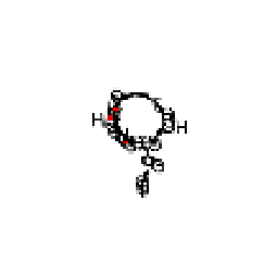 CO[C@H]1C[C@@H]2CC[C@@H](C)[C@@](O)(O2)C(=O)C(=O)N2CCCC[C@H]2C(=O)O[C@H]([C@H](C)C[C@@H]2CC[C@@H](CCCO[Si](C)(C)C(C)(C)C)[C@H](OC)C2)CC(=O)[C@H](C)/C=C(\C)[C@@H](O)[C@@H](OC)C(=O)[C@H](C)C[C@H](C)/C=C/C=C/C=C/1C